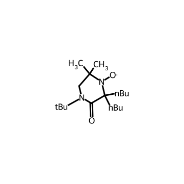 CCCCC1(CCCC)C(=O)N(C(C)(C)C)CC(C)(C)N1[O]